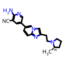 C[C@@H]1CCCN1CCc1cn2cc(-c3cnc(N)c(C#N)c3)ccc2n1